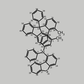 Cc1cc(N(c2ccccc2)c2cccc3sc4ccccc4c23)ccc1-c1c(C)cccc1C1(c2ccccc2)c2ccccc2-c2ccccc21